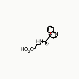 O=C(O)CCCNC(=O)C1=C2C=CN=C3C=CC=CC32SC1